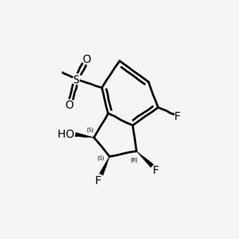 CS(=O)(=O)c1ccc(F)c2c1[C@H](O)[C@H](F)[C@@H]2F